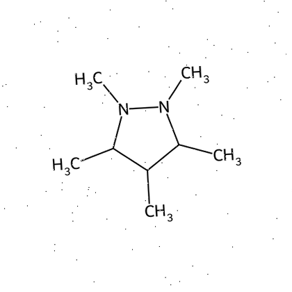 CC1C(C)N(C)N(C)C1C